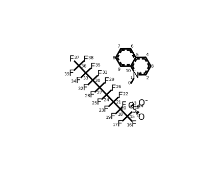 C[n+]1cccc2ccccc21.O=S(=O)([O-])C(F)(F)C(F)(F)C(F)(F)C(F)(F)C(F)(F)C(F)(F)C(F)(F)C(F)(F)F